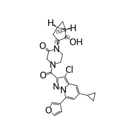 O=C(c1nn2c(-c3ccoc3)cc(C3CC3)cc2c1Cl)N1CCN([C@H]2C[C@@H]3C[C@@H]3[C@@H]2O)C(=O)C1